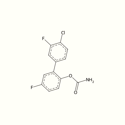 NC(=O)Oc1ccc(F)cc1-c1ccc(Cl)c(F)c1